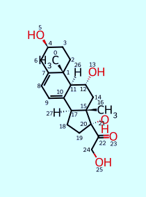 C[C@]12CC[C@H](O)CC1=CC=C1[C@@H]2[C@H](O)C[C@@]2(C)[C@H]1CC[C@]2(O)C(=O)CO